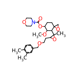 COC1C(OC(=O)N2CCOCC2)CCC2(CO2)C1C1(C)OC1CCOCc1ccc(C)c(C)c1